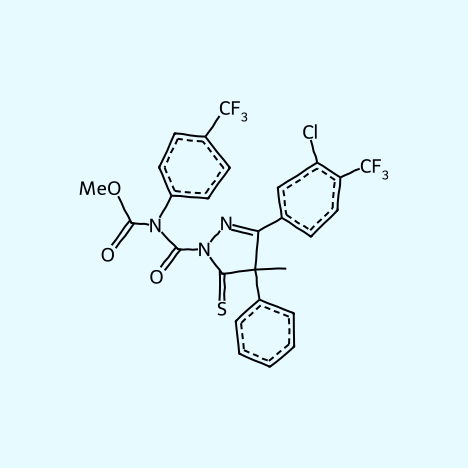 COC(=O)N(C(=O)N1N=C(c2ccc(C(F)(F)F)c(Cl)c2)C(C)(c2ccccc2)C1=S)c1ccc(C(F)(F)F)cc1